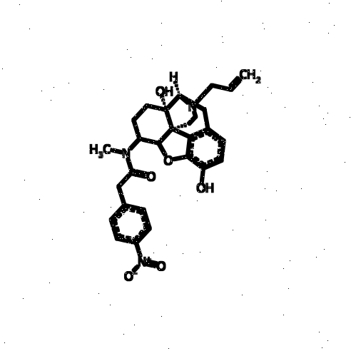 C=CCN1CC[C@]23c4c5ccc(O)c4OC2C(N(C)C(=O)Cc2ccc([N+](=O)[O-])cc2)CC[C@@]3(O)[C@H]1C5